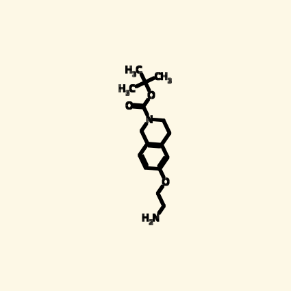 CC(C)(C)OC(=O)N1CCc2cc(OCCN)ccc2C1